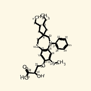 CCCCC1(CCCC)CSc2cc(OCC(O)C(=O)O)c(SC)cc2N(c2ccccc2)C1